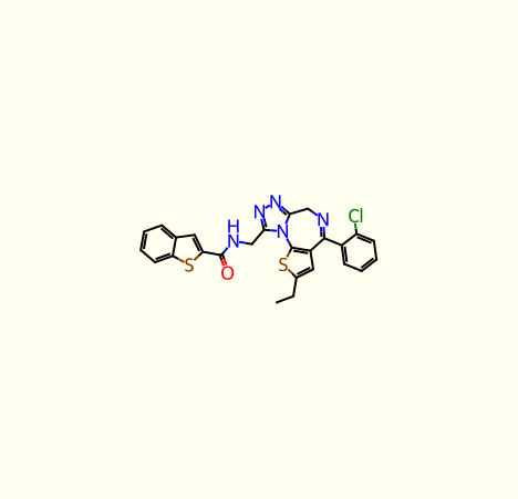 CCc1cc2c(s1)-n1c(nnc1CNC(=O)c1cc3ccccc3s1)CN=C2c1ccccc1Cl